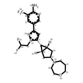 Nc1ncc(-c2cc([C@@H]3[C@@H]4C[C@@H](N5CCCOCC5)C[C@@H]43)n(CC(F)F)n2)cc1C(F)(F)F